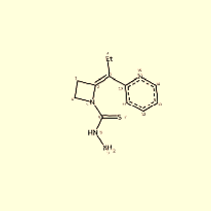 CCC(=C1CCN1C(=S)NN)c1ccccn1